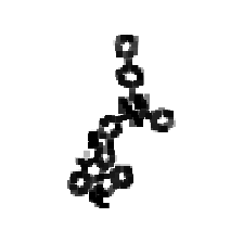 CC1(C)c2ccccc2C2(c3ccccc3-c3ccccc32)c2ccc3c(sc4ccc(-c5nc(-c6ccccc6)nc(-c6ccc(-c7ccccc7)cc6)n5)cc43)c21